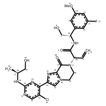 C=C[C@@H](C(=O)N[C@H](CO)c1cc(F)cc(OC)c1)N1CCn2cc(-c3nc(N[C@@H](C)CO)ncc3Cl)nc2C1=O